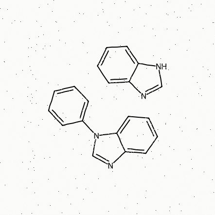 c1ccc(-n2cnc3ccccc32)cc1.c1ccc2[nH]cnc2c1